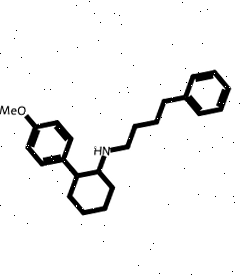 COc1ccc(C2CCCCC2NCCCCc2ccccc2)cc1